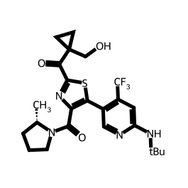 C[C@H]1CCCN1C(=O)c1nc(C(=O)C2(CO)CC2)sc1-c1cnc(NC(C)(C)C)cc1C(F)(F)F